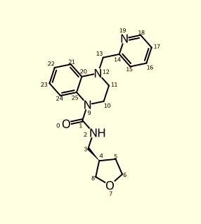 O=C(NC[C@H]1CCOC1)N1CCN(Cc2ccccn2)c2ccccc21